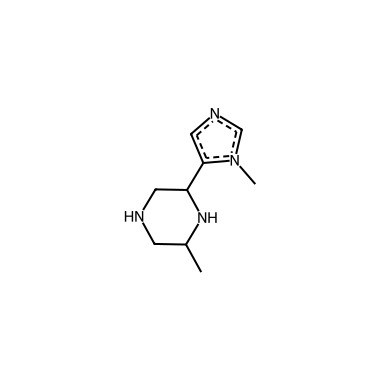 CC1CNCC(c2cncn2C)N1